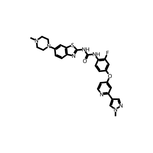 CN1CCN(c2ccc3nc(NC(=O)Nc4ccc(Oc5ccnc(-c6cnn(C)c6)c5)cc4F)sc3c2)CC1